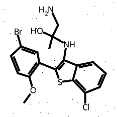 COc1ccc(Br)cc1-c1sc2c(Cl)cccc2c1NC(C)(O)CN